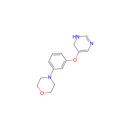 [C]1=NC=C(Oc2cccc(N3CCOCC3)c2)CN1